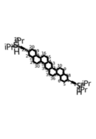 CC(C)[SiH](C#Cc1ccc2c(ccc3c4cc5ccc6c7ccc(C#C[SiH](C(C)C)C(C)C)cc7ccc6c5cc4ccc23)c1)C(C)C